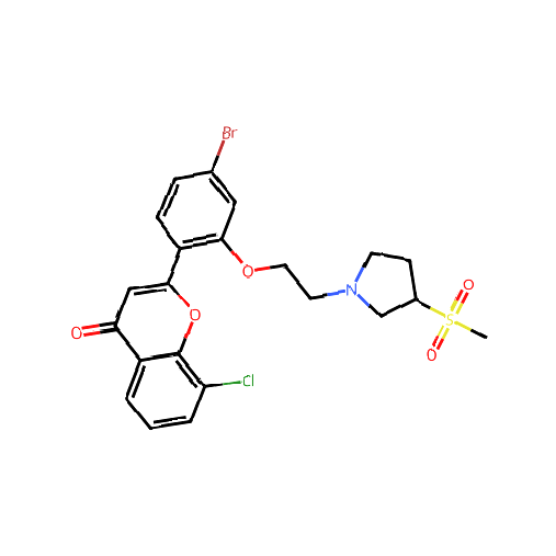 CS(=O)(=O)C1CCN(CCOc2cc(Br)ccc2-c2cc(=O)c3cccc(Cl)c3o2)C1